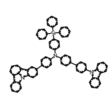 c1ccc([Si](c2ccccc2)(c2ccccc2)c2ccc(N(c3ccc(-c4ccc(-n5c6ccccc6c6ccccc65)cc4)cc3)c3ccc(-c4ccc5c(c4)c4cccc6c7ccccc7n5c64)cc3)cc2)cc1